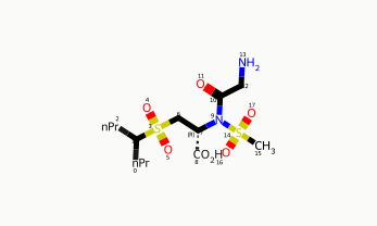 CCCC(CCC)S(=O)(=O)C[C@@H](C(=O)O)N(C(=O)CN)S(C)(=O)=O